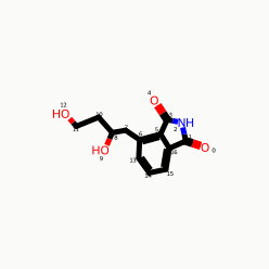 O=C1NC(=O)c2c(CC(O)CCO)cccc21